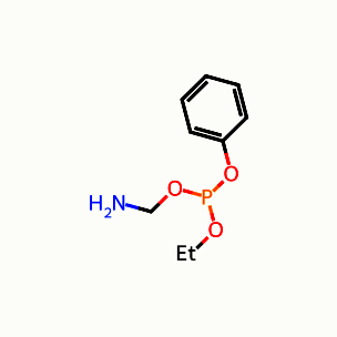 CCOP(OCN)Oc1ccccc1